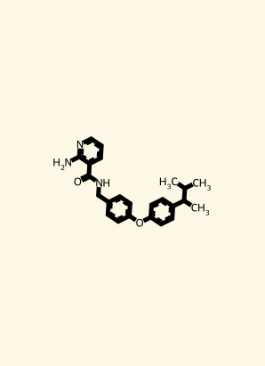 CC(C)C(C)c1ccc(Oc2ccc(CNC(=O)c3cccnc3N)cc2)cc1